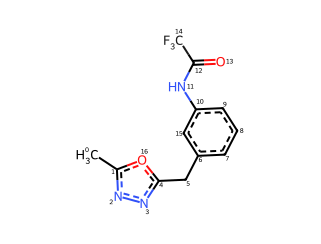 Cc1nnc(Cc2cccc(NC(=O)C(F)(F)F)c2)o1